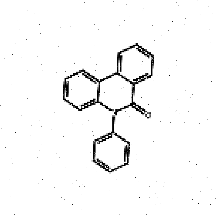 O=c1c2ccccc2c2ccccc2n1-c1ccccc1